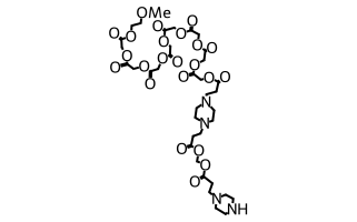 COCCOC(=O)COC(=O)COC(=O)COC(=O)COC(=O)COC(=O)COC(=O)COC(=O)COC(=O)CCN1CCN(CCC(=O)OCOC(=O)CCN2CCNCC2)CC1